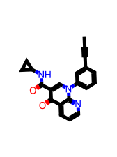 CC#Cc1cccc(-n2cc(C(=O)NC3CC3)c(=O)c3cccnc32)c1